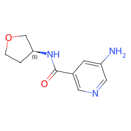 Nc1cncc(C(=O)N[C@H]2CCOC2)c1